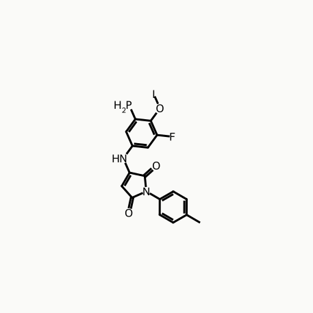 Cc1ccc(N2C(=O)C=C(Nc3cc(F)c(OI)c(P)c3)C2=O)cc1